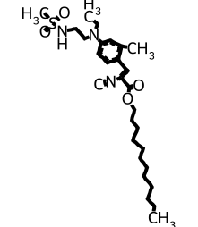 [C-]#[N+]C(=Cc1ccc(N(CC)CCNS(C)(=O)=O)cc1C)C(=O)OCCCCCCCCCCCC